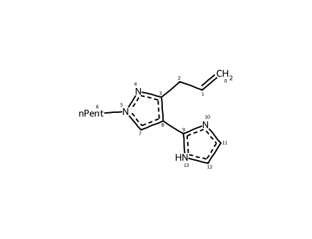 C=CCc1nn(CCCCC)cc1-c1ncc[nH]1